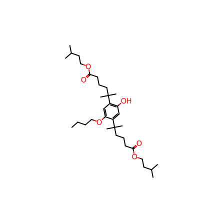 CCCCOc1cc(C(C)(C)CCCC(=O)OCCC(C)C)c(O)cc1C(C)(C)CCCC(=O)OCCC(C)C